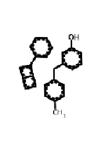 Cc1ccc(Cc2cccc(O)c2)cc1.c1ccc(-c2cc3ccc2-3)cc1